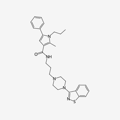 CCCn1c(-c2ccccc2)cc(C(=O)NCCCN2CCN(c3nsc4ccccc34)CC2)c1C